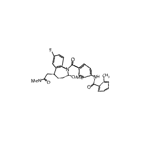 CNC(=O)CC1CCC(OC)N(C(=O)c2ccc(NC(=O)c3ccccc3C)cc2)c2ccc(F)cc21